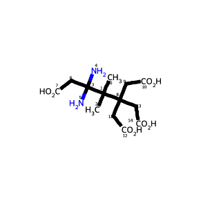 CC(C)(C(N)(N)CC(=O)O)C(CC(=O)O)(CC(=O)O)CC(=O)O